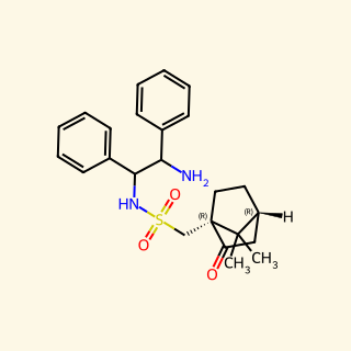 CC1(C)[C@@H]2CC[C@]1(CS(=O)(=O)NC(c1ccccc1)C(N)c1ccccc1)C(=O)C2